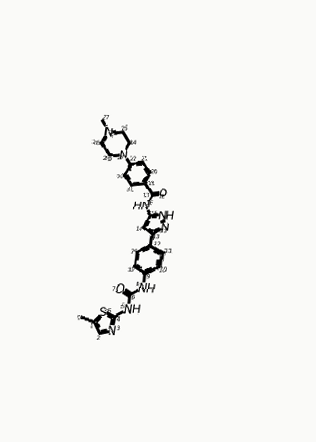 Cc1cnc(NC(=O)Nc2ccc(-c3cc(NC(=O)c4ccc(N5CCN(C)CC5)cc4)[nH]n3)cc2)s1